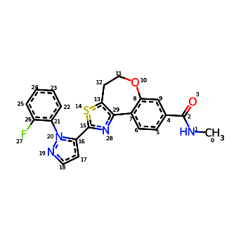 CNC(=O)c1ccc2c(c1)OCCc1sc(-c3ccnn3-c3ccccc3F)nc1-2